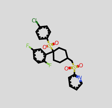 O=S(=O)(CC1CCC(c2cc(F)ccc2F)(S(=O)(=O)c2ccc(Cl)cc2)CC1)c1ccccn1